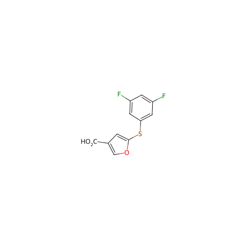 O=C(O)c1coc(Sc2cc(F)cc(F)c2)c1